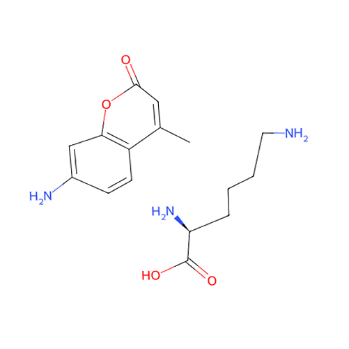 Cc1cc(=O)oc2cc(N)ccc12.NCCCC[C@H](N)C(=O)O